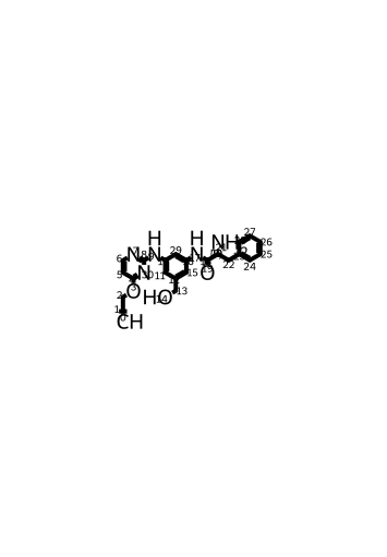 C#CCOc1ccnc(Nc2cc(CO)cc(NC(=O)[C@H](N)Cc3ccccc3)c2)n1